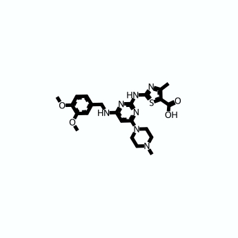 COc1ccc(CNc2cc(N3CCN(C)CC3)nc(Nc3nc(C)c(C(=O)O)s3)n2)cc1OC